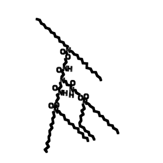 CCCCCCCCCCCCCCN(CCCCCCCCCCCCCC)C(=O)OCCCNC(=O)CCN(CCC(=O)NCCCOC(=O)N(CCCCCCCCCCCCCC)CCCCCCCCCCCCCC)CCC(=O)NCCCOC(=O)N(CCCCCCCCCCCCCC)CCCCCCCCCCCCCC